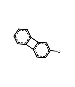 [O]c1ccc2c(c1)-c1ccccc1-2